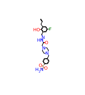 C=CCc1cc(F)cc(/C=N/NC(=O)CN2CCN(Cc3ccc(S(N)(=O)=O)cc3)CC2)c1O